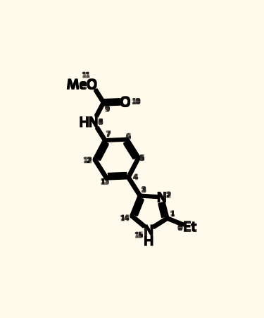 CCc1nc(-c2ccc(NC(=O)OC)cc2)c[nH]1